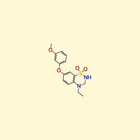 CCN1CNS(=O)(=O)c2cc(Oc3cccc(OC)c3)ccc21